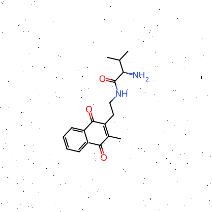 CC1=C(CCNC(=O)[C@H](N)C(C)C)C(=O)c2ccccc2C1=O